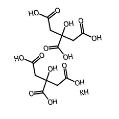 O=C(O)CC(O)(CC(=O)O)C(=O)O.O=C(O)CC(O)(CC(=O)O)C(=O)O.[KH]